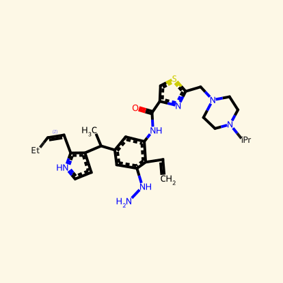 C=Cc1c(NN)cc(C(C)c2cc[nH]c2/C=C\CC)cc1NC(=O)c1csc(CN2CCN(C(C)C)CC2)n1